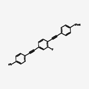 CCCCCc1ccc(C#Cc2ccc(C#Cc3ccc(CCC)cc3)cc2F)cc1